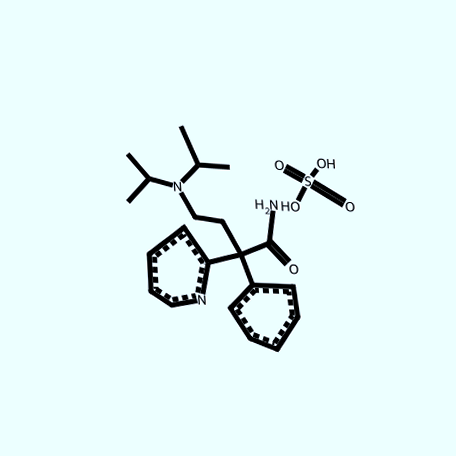 CC(C)N(CCC(C(N)=O)(c1ccccc1)c1ccccn1)C(C)C.O=S(=O)(O)O